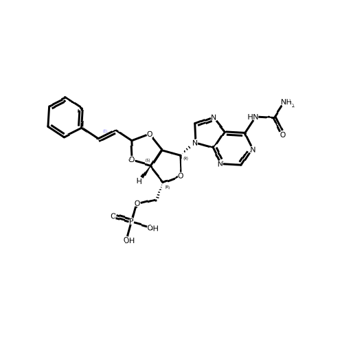 NC(=O)Nc1ncnc2c1ncn2[C@@H]1O[C@H](COP(=O)(O)O)[C@@H]2OC(/C=C/c3ccccc3)OC21